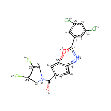 O=C(c1ccc2nc(-c3cc(Cl)cc(Cl)c3)oc2c1)N1C[C@@H](F)[C@@H](F)C1